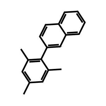 Cc1cc(C)c(-c2[c]c3ccccc3cc2)c(C)c1